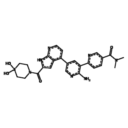 CN(C)C(=O)c1ccc(-c2cc(-c3ccnc4[nH]c(C(=O)N5CCS(O)(O)CC5)cc34)cnc2N)nc1